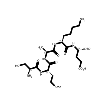 CSCC[C@H](NC(=O)[C@@H](N)CO)C(=O)N[C@@H](C)C(=O)N[C@@H](CCCCN)C(=O)N[C@H]([C]=O)CCC(=O)O